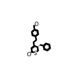 O=Cc1ccc(CCC2=CC(=O)SC[C@H]2Cc2ccccc2)cc1